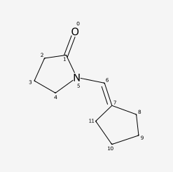 O=C1CCCN1C=C1CCCC1